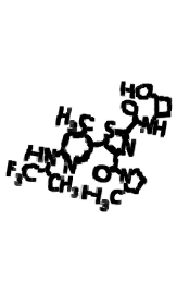 Cc1cc(N[C@@H](C)C(F)(F)F)ncc1-c1sc(C(=O)N[C@@H]2CC[C@@H]2O)nc1C(=O)N1CCC[C@@H]1C